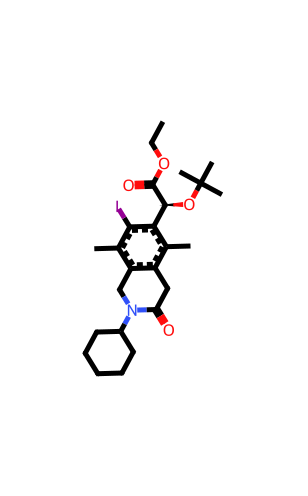 CCOC(=O)[C@@H](OC(C)(C)C)c1c(C)c2c(c(C)c1I)CN(C1CCCCC1)C(=O)C2